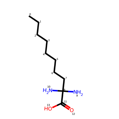 CCCCCCCCC(N)(N)C(=O)O